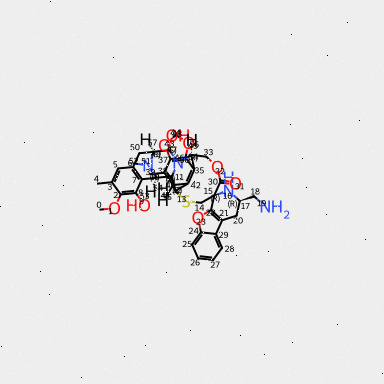 COc1c(C)cc2c(c1O)[C@@H]1[C@@H]3[C@@H]4SC[C@]5(N[C@@H](CN)Cc6c5oc5ccccc65)C(=O)OC[C@@H](c5c6c(c(C)c(C)c54)OCO6)N3[C@@H](O)[C@H](C2)N1C